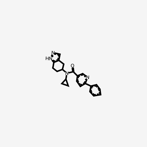 O=C(c1ccc(-c2ccccc2)nc1)N(C1CC1)C1CCc2[nH]ncc2C1